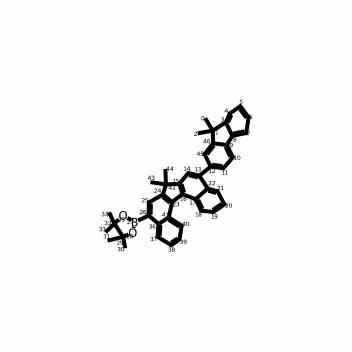 CC1(C)c2ccccc2-c2ccc(-c3cc4c(c5ccccc35)-c3c(cc(B5OC(C)(C)C(C)(C)O5)c5ccccc35)C4(C)C)cc21